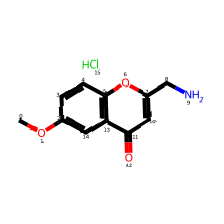 COc1ccc2oc(CN)cc(=O)c2c1.Cl